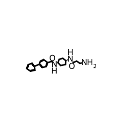 NCCC(=O)N[C@H]1CC[C@H](NC(=O)c2ccc(-c3ccccc3)cc2)CC1